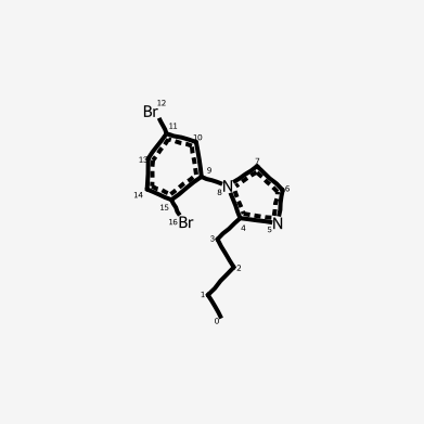 CCCCc1nccn1-c1cc(Br)ccc1Br